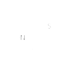 [CH]1CSC[N]1